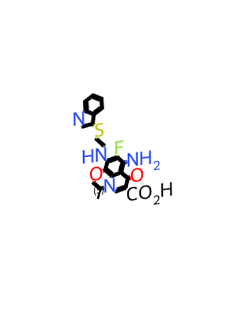 C[C@H]1COc2c(NCCSC3C=Nc4ccccc43)c(F)c(N)c3c(=O)c(C(=O)O)cn1c23